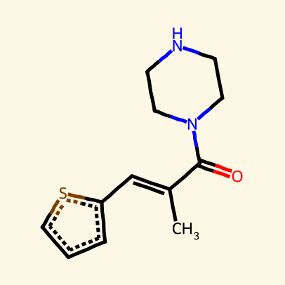 CC(=Cc1cccs1)C(=O)N1CCNCC1